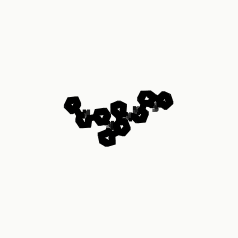 c1ccc(-c2cccc(-c3cccc(-n4c5ccccc5c5ccc6c(c7ccccc7n6-c6cccc(-c7cccc8c7sc7ccccc78)n6)c54)c3)n2)cc1